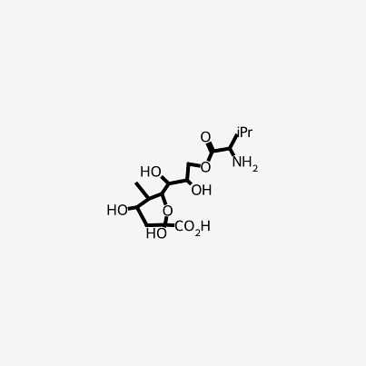 CC(C)C(N)C(=O)OCC(O)C(O)C1OC(O)(C(=O)O)CC(O)C1C